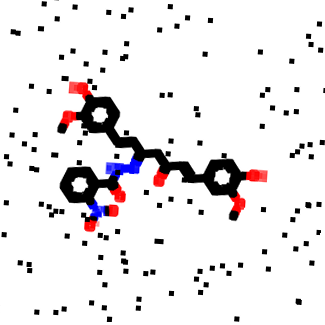 COc1cc(C=CC(=O)CC(C=Cc2ccc(O)c(OC)c2)=NNC(=O)c2ccccc2[N+](=O)[O-])ccc1O